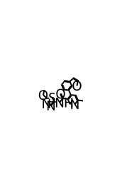 COc1nnc(NC(=O)c2cnc(C)cc2-c2cccc3ccoc23)s1